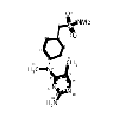 CNS(=O)(=O)C[C@H]1CC[C@H](N(C)c2nc(N)ncc2C)CC1